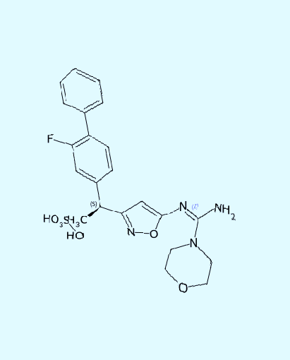 C[C@@H](c1ccc(-c2ccccc2)c(F)c1)c1cc(/N=C(/N)N2CCOCC2)on1.O=S(=O)(O)O